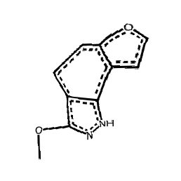 COc1n[nH]c2c1ccc1occc12